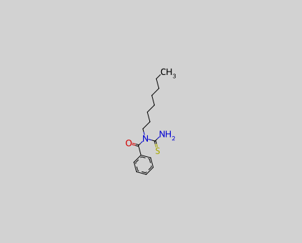 CCCCCCCCN(C(=O)c1ccccc1)C(N)=S